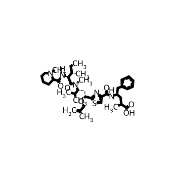 C=C(C)CO[C@H](C[C@H](C(C)C)N(C)C(=O)[C@@H](NC(=O)C1CCCCN1C)[C@@H](C)CC)c1nc(C(=O)NC(Cc2ccccc2)CC(C)C(=O)O)cs1